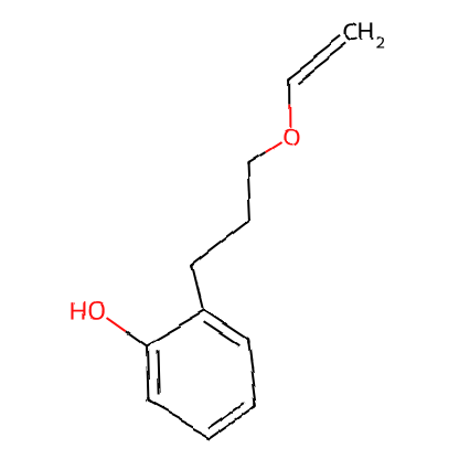 C=COCCCc1ccccc1O